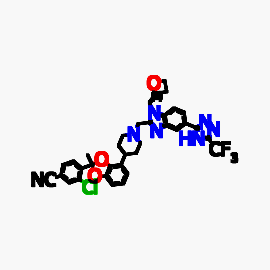 CC1(c2ccc(C#N)cc2Cl)Oc2cccc(C3CCN(Cc4nc5cc(-c6nnc(C(F)(F)F)[nH]6)ccc5n4C[C@@H]4CCO4)CC3)c2O1